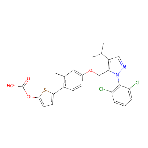 Cc1cc(OCc2c(C(C)C)cnn2-c2c(Cl)cccc2Cl)ccc1-c1ccc(OC(=O)O)s1